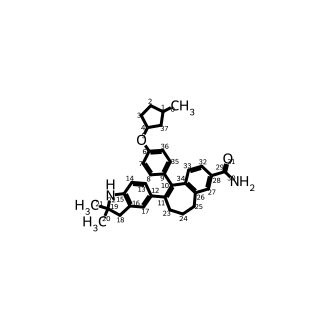 CC1CCC(Oc2ccc(C3=C(c4ccc5c(c4)CC(C)(C)N5)CCCc4cc(C(N)=O)ccc43)cc2)C1